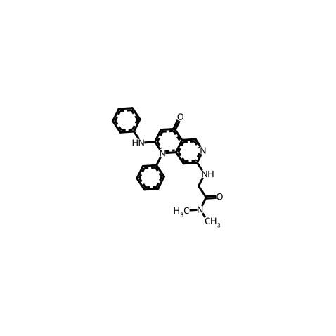 CN(C)C(=O)CNc1cc2c(cn1)c(=O)cc(Nc1ccccc1)n2-c1ccccc1